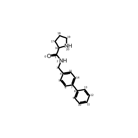 O=C(NCc1ccc(-c2ccccc2)cc1)C1CCCN1